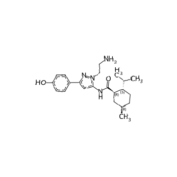 CC(C)[C@@H]1CC[C@@H](C)C[C@H]1C(=O)Nc1cc(-c2ccc(O)cc2)nn1CCN